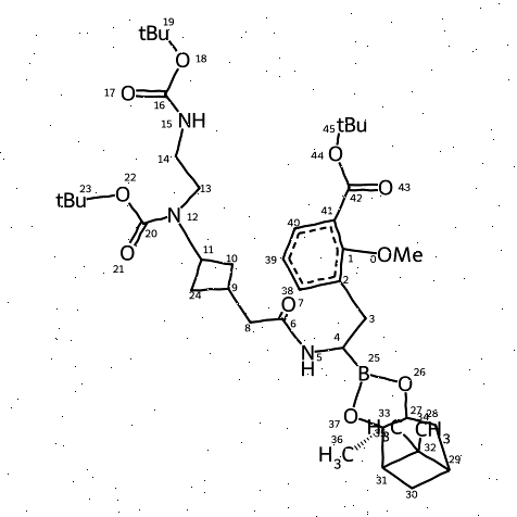 COc1c(CC(NC(=O)CC2CC(N(CCNC(=O)OC(C)(C)C)C(=O)OC(C)(C)C)C2)B2OC3CC4CC(C4(C)C)[C@@]3(C)O2)cccc1C(=O)OC(C)(C)C